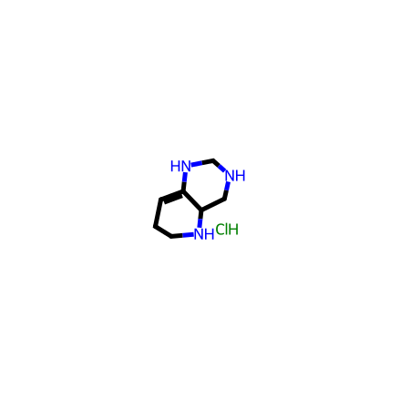 C1=C2NCNCC2NCC1.Cl